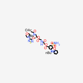 CCCCNc1cc(C(=O)OCC(=O)NCC(=O)O[C@H](COc2nsnc2N2CCOCC2)CN(C(=O)COC(C)=O)C(C)(C)C)cc(S(N)(=O)=O)c1Oc1ccccc1